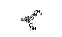 Cc1cc(CC(=O)Nc2cc(C3CCCC(O)CC3)nn2C(C)(C)C)on1